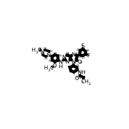 C=CC(=O)Nc1cccc(-n2c(=O)c(-c3cc(F)cc(F)c3)nc3cnc(Nc4ccc(N5CCN(C)CC5)cc4OC)nc32)c1